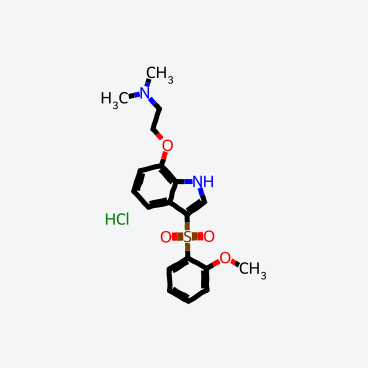 COc1ccccc1S(=O)(=O)c1c[nH]c2c(OCCN(C)C)cccc12.Cl